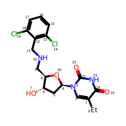 CCc1cn([C@H]2C[C@H](O)[C@@H](CNCc3c(Cl)cccc3Cl)O2)c(=O)[nH]c1=O